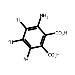 [2H]c1c([2H])c(N)c(C(=O)O)c(C(=O)O)c1[2H]